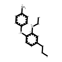 CCCc1ccc(Oc2ccc(N)cc2)c(OCC)c1